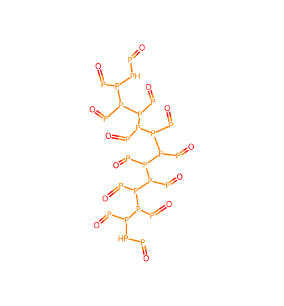 O=PPP(P=O)P(P=O)P(P=O)P(P=O)P(P=O)P(P=O)P(P=O)P(P=O)P(P=O)P(P=O)P(P=O)PP=O